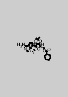 CC1(C)O[C@H]2[C@@H](O1)[C@](C#N)(c1ccc3c(N)ncnn13)O[C@@H]2COC(=O)C1CCCCC1